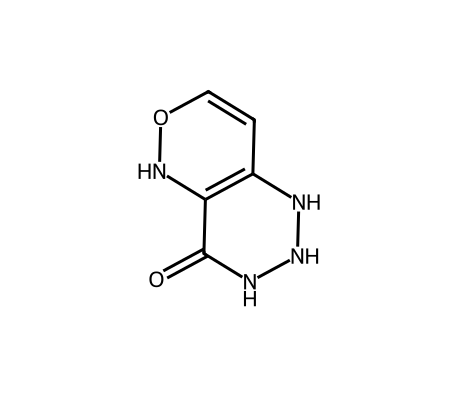 O=c1[nH][nH][nH]c2cco[nH]c1=2